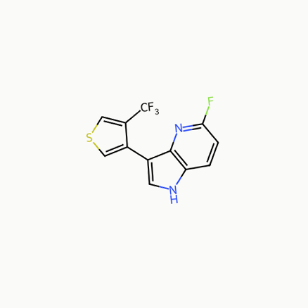 Fc1ccc2[nH]cc(-c3cscc3C(F)(F)F)c2n1